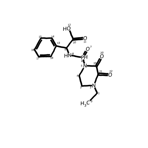 CCN1CCN([PH](=O)NC(C(=O)O)c2ccccc2)C(=O)C1=O